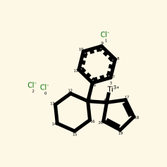 [Cl-].[Cl-].[Cl-].[Ti+3][C]1(C2(c3ccccc3)CCCCC2)C=CC=C1